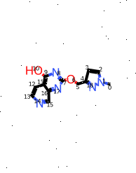 Cn1ccc(COc2nc(O)c3ccncc3n2)n1